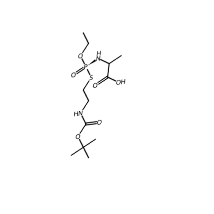 CCO[P@](=O)(NC(C)C(=O)O)SCCNC(=O)OC(C)(C)C